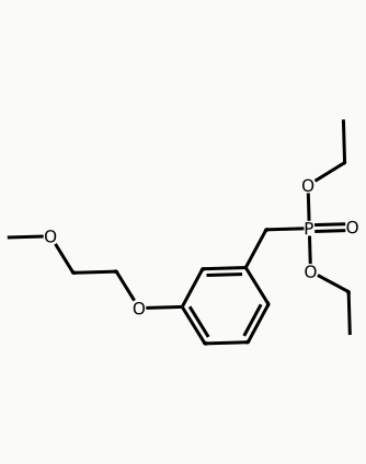 CCOP(=O)(Cc1cccc(OCCOC)c1)OCC